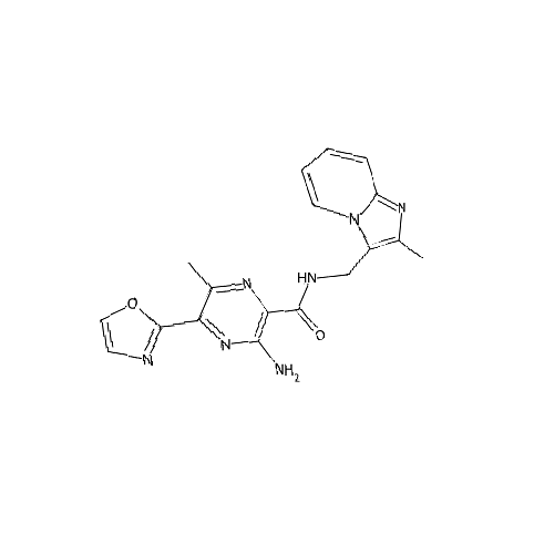 Cc1nc(C(=O)NCc2c(C)nc3ccccn23)c(N)nc1-c1ncco1